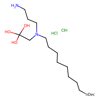 CCCCCCCCCCCCCCCCCCN(CCCN)CC(O)(O)O.Cl.Cl